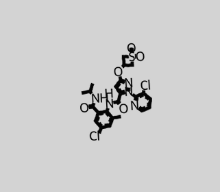 Cc1cc(Cl)cc(C(=O)NC(C)C)c1NC(=O)c1cc(OC2CS(=O)(=O)C2)nn1-c1ncccc1Cl